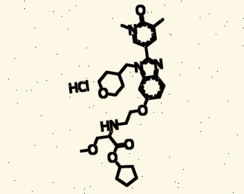 COCC(NCCOc1ccc2nc(-c3cc(C)c(=O)n(C)c3)n(CC3CCOCC3)c2c1)C(=O)OC1CCCC1.Cl